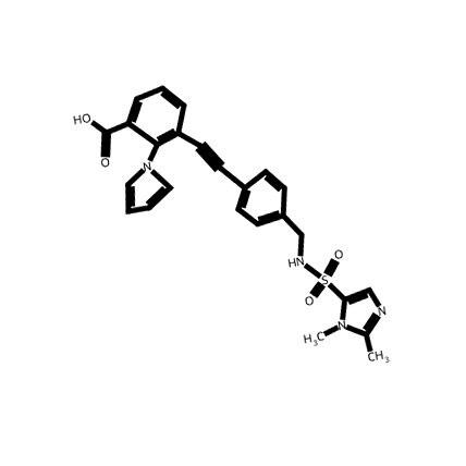 Cc1ncc(S(=O)(=O)NCc2ccc(C#Cc3cccc(C(=O)O)c3-n3cccc3)cc2)n1C